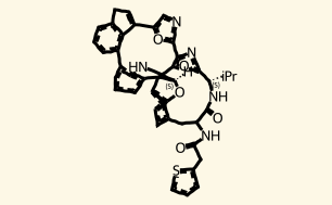 CC(C)[C@@H]1NC(=O)C(NC(=O)Cc2cccs2)Cc2ccc3c(c2)C24c5cccc(c5N[C@H]2O3)-c2cccc3c2C(=CC3)c2cnc(o2)-c2nc1oc24